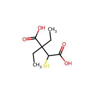 CCC(CC)(C(=O)O)C(S)C(=O)O